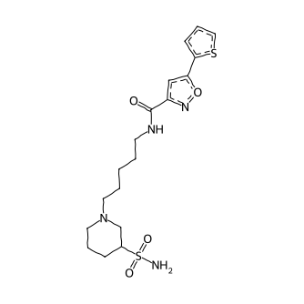 NS(=O)(=O)C1CCCN(CCCCCNC(=O)c2cc(-c3cccs3)on2)C1